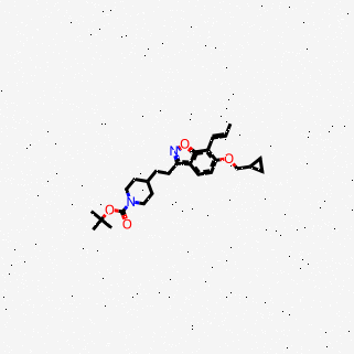 C/C=C/c1c(OCC2CC2)ccc2c(CCC3CCN(C(=O)OC(C)(C)C)CC3)noc12